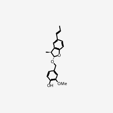 C/C=C/c1ccc2c(c1)[C@H](C)[C@@H](OCc1ccc(O)c(OC)c1)O2